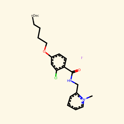 CCCCCCCCCCCCCCOc1ccc(C(=O)NCc2cccc[n+]2C)c(Cl)c1.[I-]